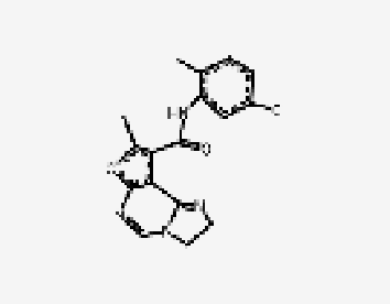 Cc1ccc(Cl)cc1NC(=O)c1c(C)oc2c1C1=NCCN1C=N2